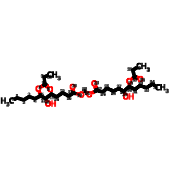 CCCCCC(OC(=O)CC)C(O)CCCCC(=O)OCOC(=O)CCCCC(O)C(CCCCC)OC(=O)CC